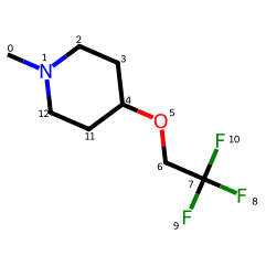 CN1CCC(OCC(F)(F)F)CC1